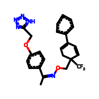 CC(=NOCC1(C(F)(F)F)C=CC(c2ccccc2)=CC1)c1ccc(OCc2nnn[nH]2)cc1